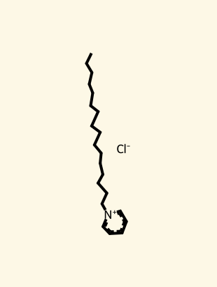 CCCCCCCCCCCCCCCC[n+]1ccccc1.[Cl-]